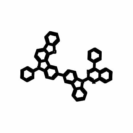 c1ccc(-c2nc(-n3c4ccccc4c4cc(-c5ccc6c(c5)c5c7oc8ccccc8c7ccc5n6-c5ccccc5)ccc43)nc3ccccc23)cc1